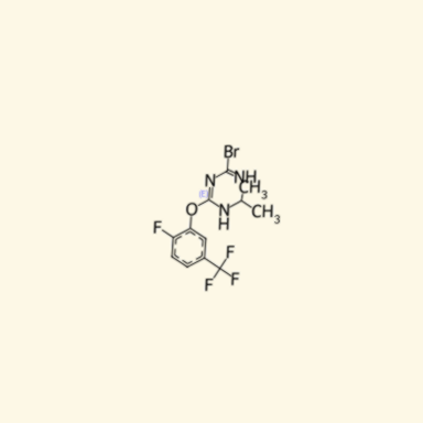 CC(C)N/C(=N\C(=N)Br)Oc1cc(C(F)(F)F)ccc1F